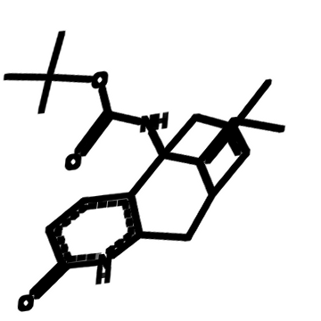 C/C=C1\C2C=C(C)CC1(NC(=O)OC(C)(C)C)c1ccc(=O)[nH]c1C2